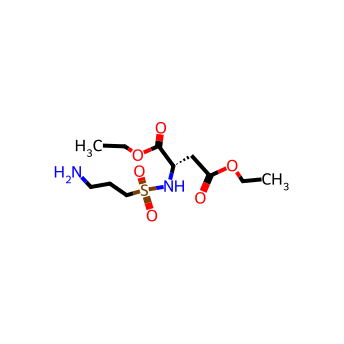 CCOC(=O)C[C@H](NS(=O)(=O)CCCN)C(=O)OCC